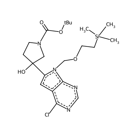 CC(C)(C)OC(=O)N1CCC(O)(c2cc3c(Cl)ncnc3n2COCC[Si](C)(C)C)C1